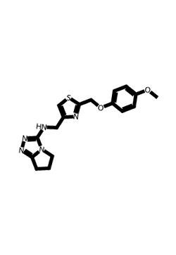 COc1ccc(OCc2nc(CNc3nnc4n3CCC4)cs2)cc1